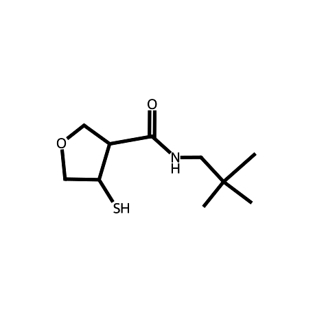 CC(C)(C)CNC(=O)C1COCC1S